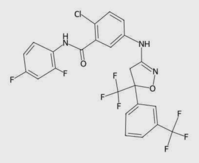 O=C(Nc1ccc(F)cc1F)c1cc(NC2=NOC(c3cccc(C(F)(F)F)c3)(C(F)(F)F)C2)ccc1Cl